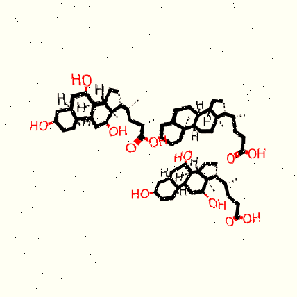 C[C@H](CCC(=O)O)[C@H]1CC[C@H]2[C@@H]3CCC4CCCC[C@]4(C)[C@H]3CC[C@]12C.C[C@H](CCC(=O)O)[C@H]1CC[C@H]2[C@@H]3[C@H](O)C[C@@H]4C[C@H](O)CC[C@]4(C)[C@H]3C[C@H](O)[C@]12C.C[C@H](CCC(=O)O)[C@H]1CC[C@H]2[C@@H]3[C@H](O)C[C@@H]4C[C@H](O)CC[C@]4(C)[C@H]3C[C@H](O)[C@]12C